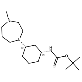 CN1CCCN([C@H]2CCC[C@@H](NC(=O)OC(C)(C)C)C2)CC1